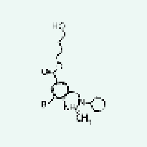 CCN(Cc1cc(C(=O)OCCCCO)cc(Br)c1N)C1CCCC1